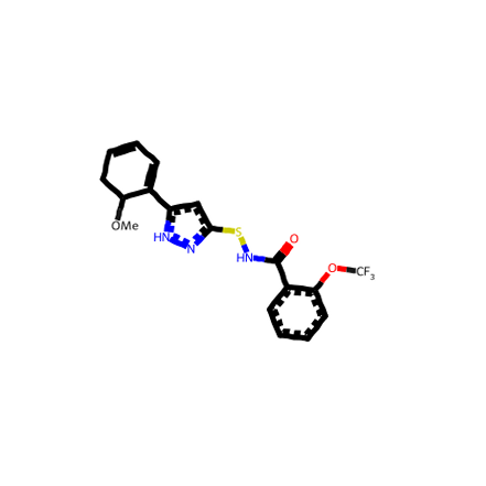 COC1CC=CC=C1c1cc(SNC(=O)c2ccccc2OC(F)(F)F)n[nH]1